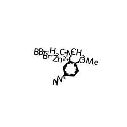 COc1ccc([N+]#N)cc1N(C)C.[Br-].[Br-].[Br-].[Zn+2]